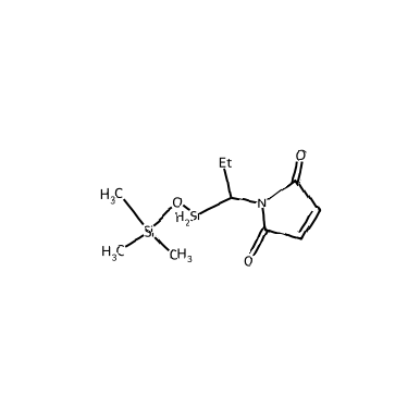 CCC([SiH2]O[Si](C)(C)C)N1C(=O)C=CC1=O